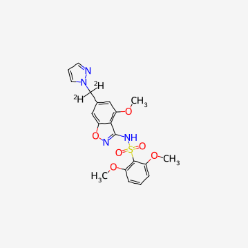 [2H]C([2H])(c1cc(OC)c2c(NS(=O)(=O)c3c(OC)cccc3OC)noc2c1)n1cccn1